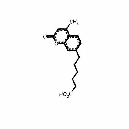 Cc1cc(=O)oc2cc(CCCCCC(=O)O)ccc12